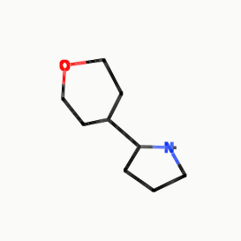 C1C[N]C(C2CCOCC2)C1